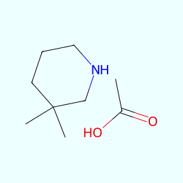 CC(=O)O.CC1(C)CCCNC1